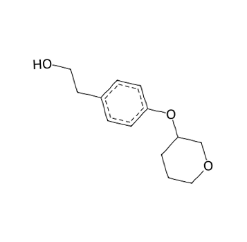 OCCc1ccc(OC2CCCOC2)cc1